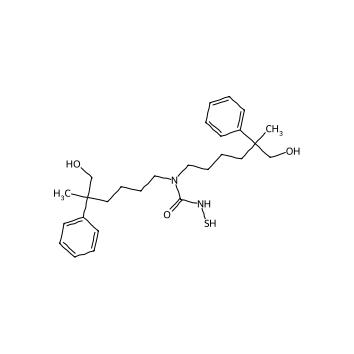 CC(CO)(CCCCN(CCCCC(C)(CO)c1ccccc1)C(=O)NS)c1ccccc1